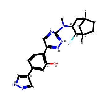 CN(c1ncc(-c2ccc(-c3cn[nH]c3)cc2O)nn1)[C@H]1C[C@]2(C)CC[C@@](C)(C2)[C@H]1F